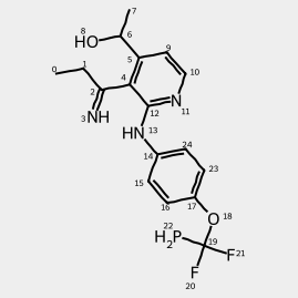 CCC(=N)c1c(C(C)O)ccnc1Nc1ccc(OC(F)(F)P)cc1